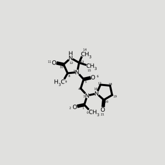 CC(=O)N(CC(=O)N1C(C)C(=O)NC1(C)C)N1CCCC1=O